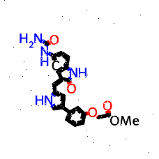 COC(=O)COc1cccc(-c2c[nH]c(C=C3C(=O)Nc4ccc(NC(N)=O)cc43)c2)c1